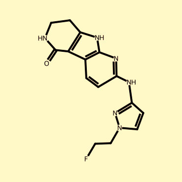 O=C1NCCc2[nH]c3nc(Nc4ccn(CCF)n4)ccc3c21